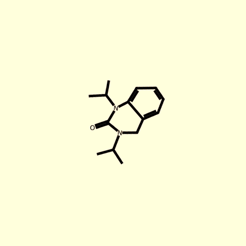 CC(C)N1Cc2ccccc2N(C(C)C)C1=O